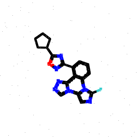 Fc1ncc2n3cnnc3c3c(-c4noc(C5CCCC5)n4)cccc3n12